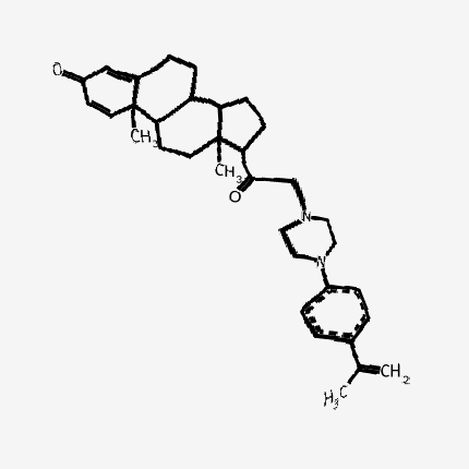 C=C(C)c1ccc(N2CCN(CC(=O)C3CCC4C5CCC6=CC(=O)C=CC6(C)C5CCC34C)CC2)cc1